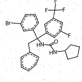 O=C(NC1CCCC1)NC(Cc1ccccc1)(c1cccc(Br)c1)c1cc(F)cc(C(F)(F)F)c1